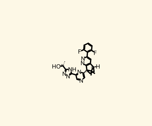 C[C@@H](O)c1nnc(-c2cncc([C@@]34CC[C@@H](c5cc(-c6c(F)cccc6F)nnc53)C4(C)C)n2)[nH]1